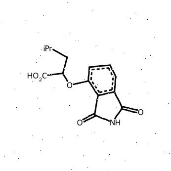 CC(C)CC(Oc1cccc2c1C(=O)NC2=O)C(=O)O